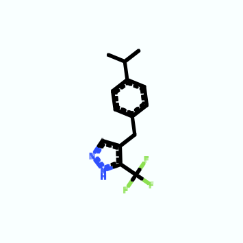 CC(C)c1ccc(Cc2[c]n[nH]c2C(F)(F)F)cc1